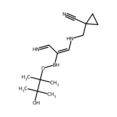 CC(C)(O)C(C)(C)OB/C(C=N)=C/NCC1(C#N)CC1